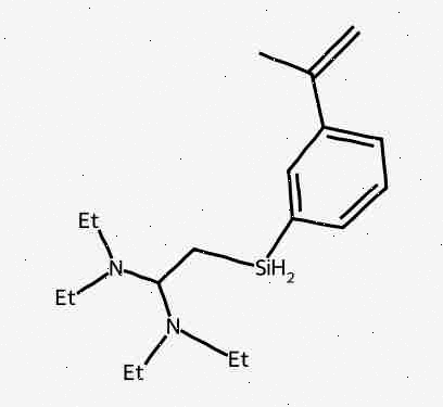 C=C(C)c1cccc([SiH2]CC(N(CC)CC)N(CC)CC)c1